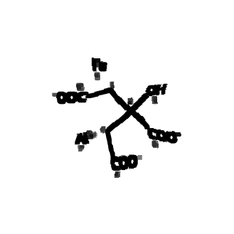 O=C([O-])CC(O)(CC(=O)[O-])C(=O)[O-].[Al+3].[Fe]